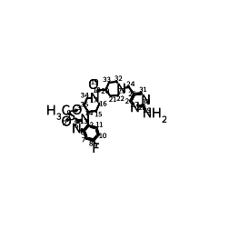 CS(=O)(=O)c1nc2cc(F)ccc2n1C1CCN(C(=O)C2CCN(Cc3cnc(N)nc3)CC2)CC1